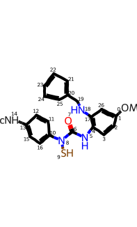 COc1ccc(NC(=O)N(S)c2ccc(NC(C)=O)cc2)c(NCc2ccccc2)c1